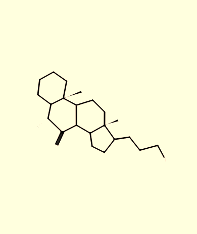 C=C1C2C3CCC(CCCI)[C@@]3(C)CCC2[C@@]2(C)CCCCC2[C@H]1CC